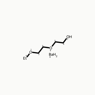 CCOCCOCCO.[BaH2]